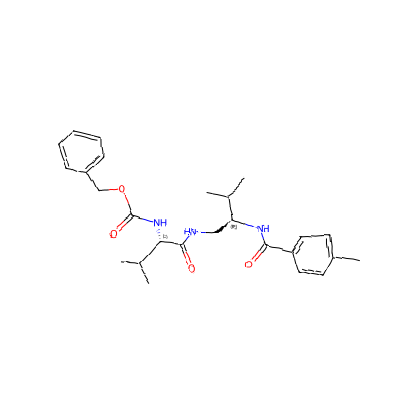 Cc1ccc(C(=O)N[C@@H](CNC(=O)[C@@H](NC(=O)OCc2ccccc2)C(C)C)C(C)C)cc1